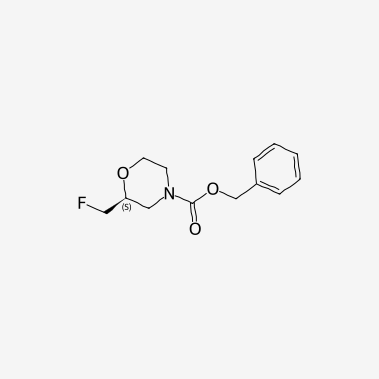 O=C(OCc1ccccc1)N1CCO[C@H](CF)C1